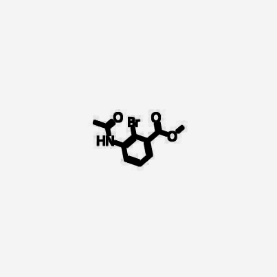 COC(=O)c1cccc(NC(C)=O)c1Br